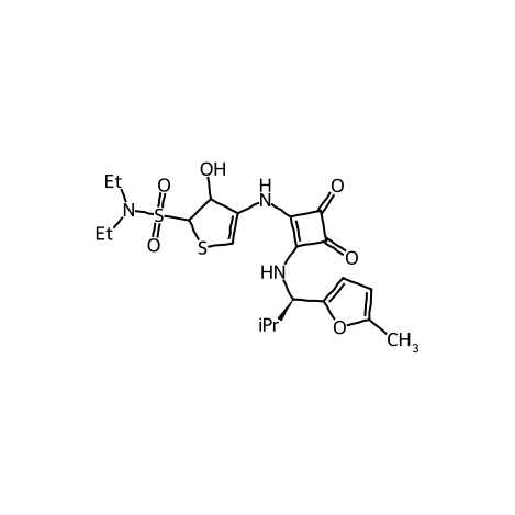 CCN(CC)S(=O)(=O)C1SC=C(Nc2c(N[C@@H](c3ccc(C)o3)C(C)C)c(=O)c2=O)C1O